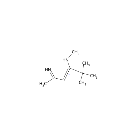 CN/C(=C\C(C)=N)C(C)(C)C